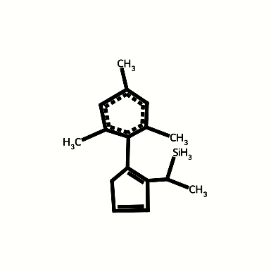 Cc1cc(C)c(C2=C(C(C)[SiH3])C=CC2)c(C)c1